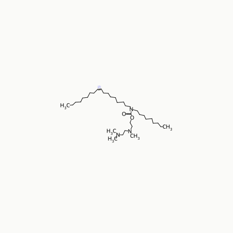 CCCCCCCC/C=C\CCCCCCCCN(CCCCCCCCC)C(=O)OCCN(C)CCN(C)C